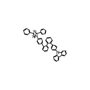 c1ccc(-c2nc(-c3ccccc3)n(-c3ccc(-c4ccccc4-c4ccccc4-c4ccc(-n5c6ccccc6c6ccccc65)cc4)cc3)n2)cc1